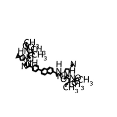 CC[C@H](C)[C@H](NC(=O)OC)C(=O)N1C[C@@H](C#N)C[C@H]1c1ncc(-c2ccc3cc(-c4ccc(-c5cnc([C@@H]6CC7(CC7)CN6C(=O)[C@@H](NC(=O)OC)C(C)C)[nH]5)cc4)ccc3c2)[nH]1